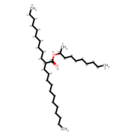 CCCCCCCCCCCCC(CCCCCCCCCC)C(=O)OC(C)CCCCCCCC